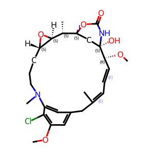 COc1cc2cc(c1Cl)N(C)CCC[C@@H]1O[C@H]1[C@H](C)[C@@]1(I)C[C@@](O)(NC(=O)O1)[C@H](OC)/C=C/C=C(\C)C2